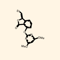 CC/C=C1\OC(=O)c2c(Oc3nc(OC)cc(OC)n3)cccc21